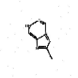 Cc1nc2cn[nH]cc-2n1